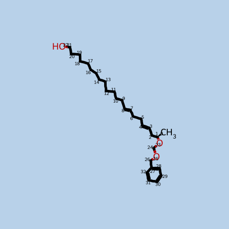 C[C@H](C/C=C/CC/C=C/CCCCCCCCCCCCCO)OCOCc1ccccc1